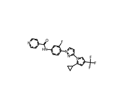 O=C(Nc1ccc(-n2ccc(-n3cc(C(F)(F)F)cc3C3CC3)n2)c(F)c1)c1ccncc1